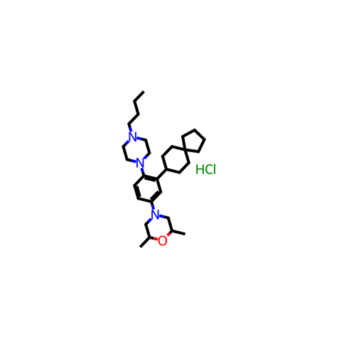 CCCCN1CCN(c2ccc(N3CC(C)OC(C)C3)cc2C2CCC3(CCCC3)CC2)CC1.Cl